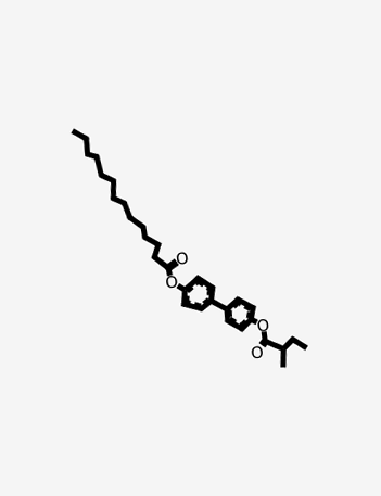 CCCCCCCCCCCCCC(=O)Oc1ccc(-c2ccc(OC(=O)C(C)CC)cc2)cc1